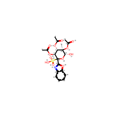 CC(=O)O[C@H]1[C@H](OC(C)=O)[C@@](C)(OC(C)=O)[C@H](O)OC1(c1nc2ccccc2o1)S(=O)(=O)O